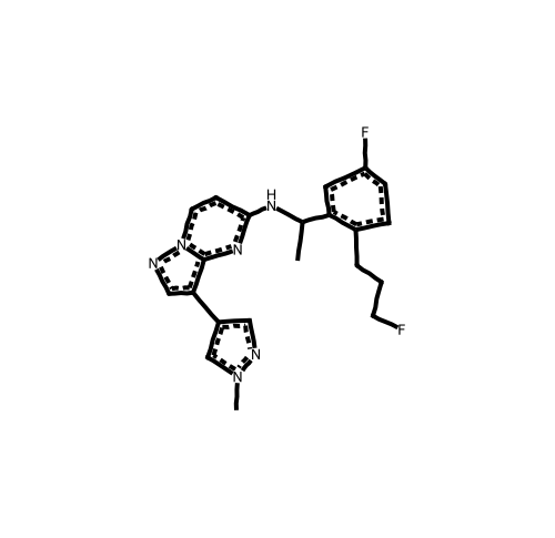 CC(Nc1ccn2ncc(-c3cnn(C)c3)c2n1)c1cc(F)ccc1CCCF